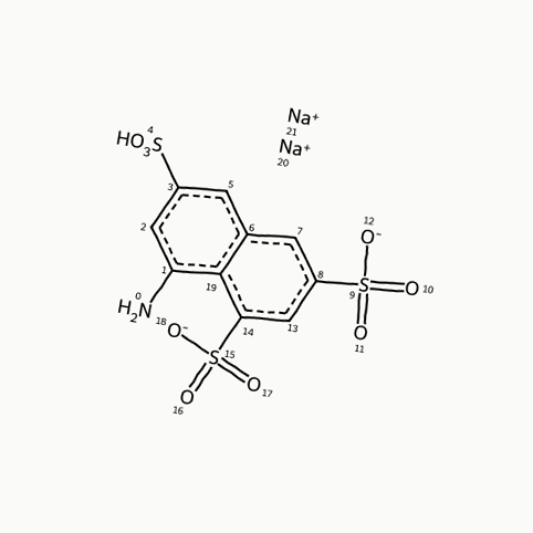 Nc1cc(S(=O)(=O)O)cc2cc(S(=O)(=O)[O-])cc(S(=O)(=O)[O-])c12.[Na+].[Na+]